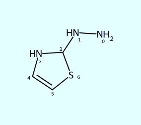 NNC1NC=CS1